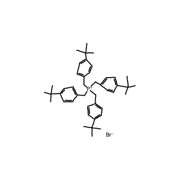 CC(C)(C)c1ccc(C[P+](Cc2ccc(C(C)(C)C)cc2)(Cc2ccc(C(C)(C)C)cc2)Cc2ccc(C(C)(C)C)cc2)cc1.[Br-]